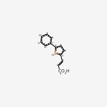 O=C(O)C=Cc1ccc(-c2ccccc2)s1